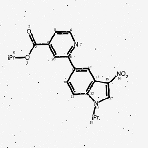 CC(C)OC(=O)c1ccnc(-c2ccc3c(c2)c([N+](=O)[O-])cn3C(C)C)c1